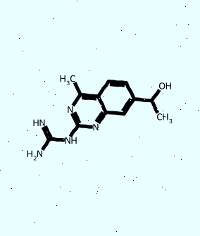 Cc1nc(NC(=N)N)nc2cc(C(C)O)ccc12